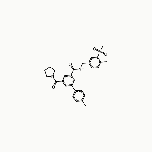 Cc1ccc(-c2cc(C(=O)NCc3ccc(C)c(S(C)(=O)=O)c3)cc(C(=O)N3CCCC3)c2)cc1